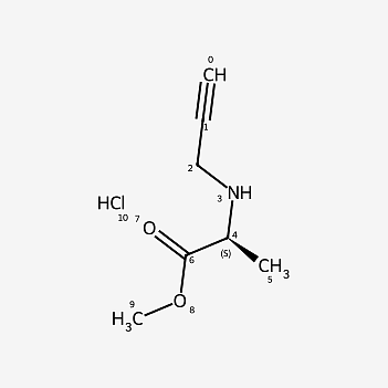 C#CCN[C@@H](C)C(=O)OC.Cl